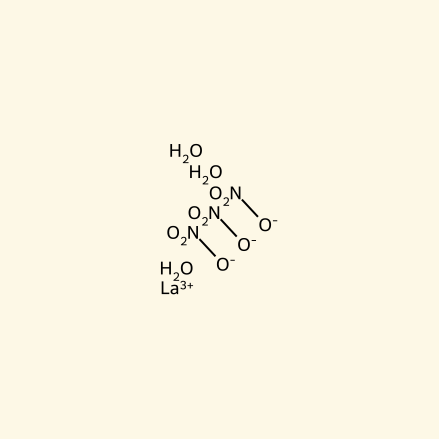 O.O.O.O=[N+]([O-])[O-].O=[N+]([O-])[O-].O=[N+]([O-])[O-].[La+3]